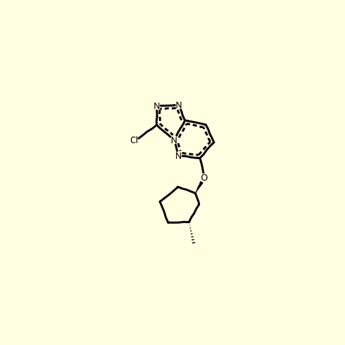 C[C@@H]1CCC[C@@H](Oc2ccc3nnc(Cl)n3n2)C1